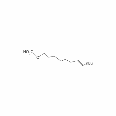 CCCCC=CCCCCCCOC(=O)O